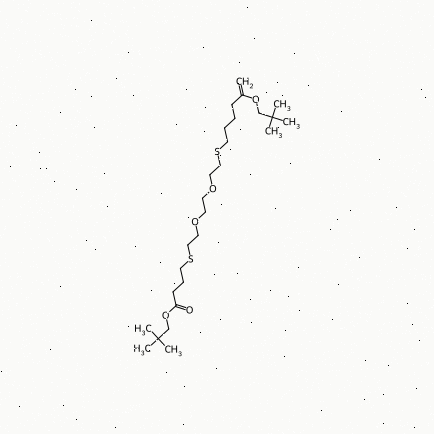 C=C(CCCCSCCOCCOCCSCCCC(=O)OCC(C)(C)C)OCC(C)(C)C